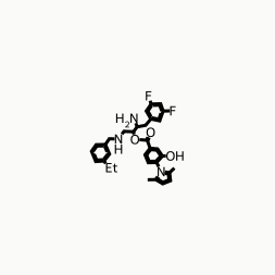 CCc1cccc(CNCC(OC(=O)c2ccc(-n3c(C)ccc3C)c(O)c2)C(N)Cc2cc(F)cc(F)c2)c1